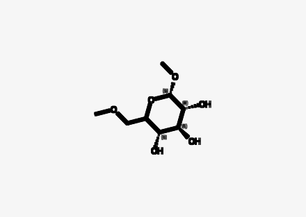 COCC1O[C@H](OC)[C@H](O)[C@@H](O)[C@@H]1O